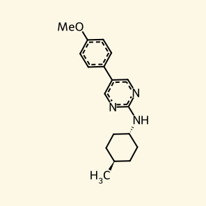 COc1ccc(-c2cnc(N[C@H]3CC[C@H](C)CC3)nc2)cc1